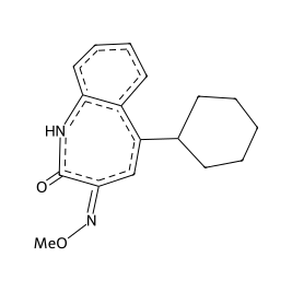 CON=c1cc(C2CCCCC2)c2ccccc2[nH]c1=O